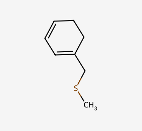 CSCC1=CC=CCC1